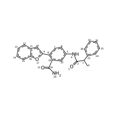 CC(C(=O)Nc1ccc(-c2cc3ccccc3o2)c(C(N)=O)c1)c1ccccc1